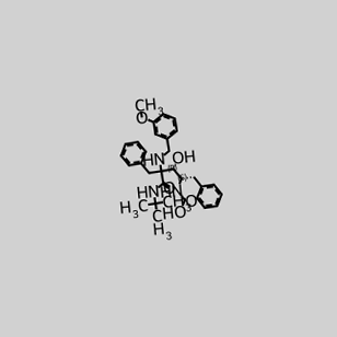 COc1cccc(CNC(Cc2ccccc2)(C(=O)NC(C)(C)C)[C@H](O)[C@H](Cc2ccccc2)NC(=O)O)c1